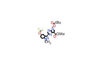 COC(=O)c1cn(COC(=O)C(C)(C)C)c2ncc(-c3nn(C)c4ccc(OC(F)F)cc34)nc12